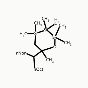 CCCCCCCCCC(CCCCCCCC)C1(C)C[Si](C)(C)[Si](C)(C)[Si](C)(C)O1